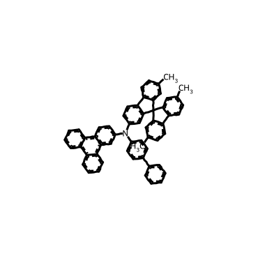 Cc1ccc2c(c1)C1(c3cc(C)ccc3-2)c2cc(C)ccc2-c2ccc(N(c3ccc(-c4ccccc4)cc3)c3ccc4c5ccccc5c5ccccc5c4c3)cc21